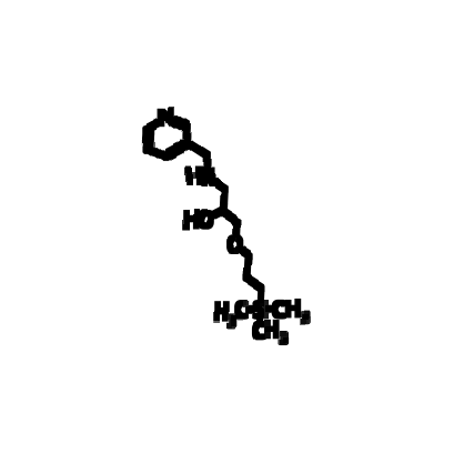 C[Si](C)(C)CCCOCC(O)CNCc1cccnc1